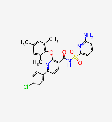 Cc1cc(C)c(Oc2nc(-c3ccc(Cl)cc3)ccc2C(=O)NS(=O)(=O)c2cccc(N)n2)c(C)c1